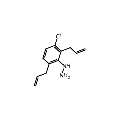 C=CCc1ccc(Cl)c(CC=C)c1NN